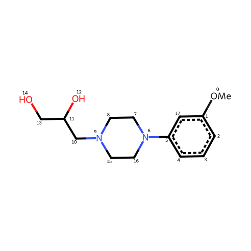 COc1cccc(N2CCN(CC(O)CO)CC2)c1